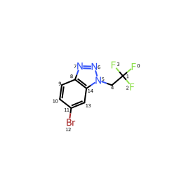 FC(F)(F)Cn1nnc2ccc(Br)cc21